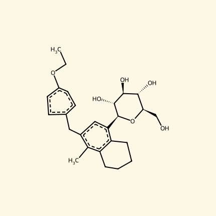 CCOc1ccc(Cc2cc([C@@H]3O[C@H](CO)[C@@H](O)[C@H](O)[C@H]3O)c3c(c2C)CCCC3)cc1